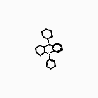 C1=CC(N2c3ccccc3B(C3CCCCC3)C3CCCCC32)=CCC1